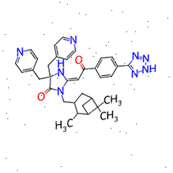 CC1C(CN2C(=O)C(Cc3ccncc3)(Cc3ccncc3)NC2=CC(=O)c2ccc(-c3nn[nH]n3)cc2)CC2CC1C2(C)C